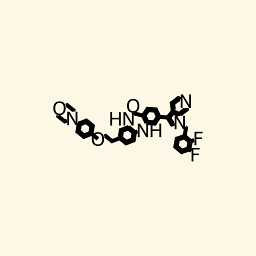 O=C1Nc2cc(CCOc3ccc(N4CCOCC4)cc3)ccc2Nc2cc(-c3cn(Cc4cccc(F)c4F)c4cnccc34)ccc21